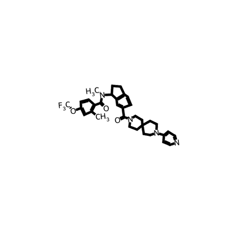 Cc1cc(OC(F)(F)F)ccc1C(=O)N(C)C1CCc2ccc(C(=O)N3CCC4(CC3)CCN(c3ccncc3)CC4)cc21